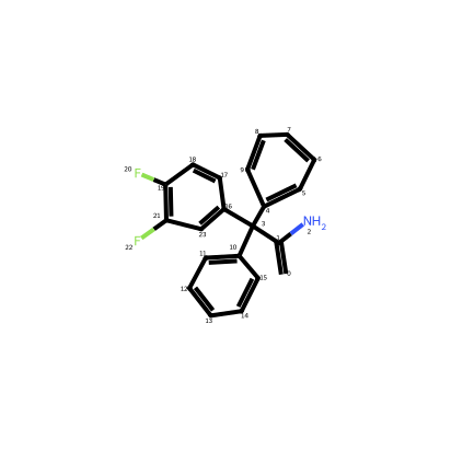 C=C(N)C(c1ccccc1)(c1ccccc1)c1ccc(F)c(F)c1